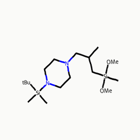 CO[Si](C)(CC(C)CN1CCN([Si](C)(C)C(C)(C)C)CC1)OC